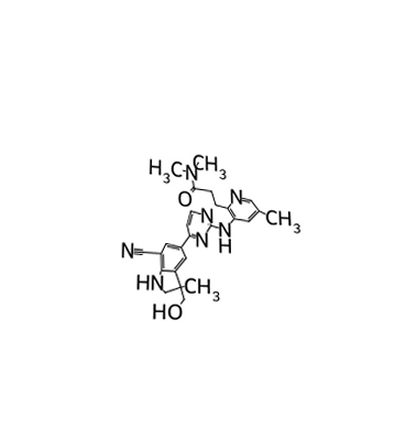 Cc1cnc(CCC(=O)N(C)C)c(Nc2nccc(-c3cc(C#N)c4c(c3)C(C)(CO)CN4)n2)c1